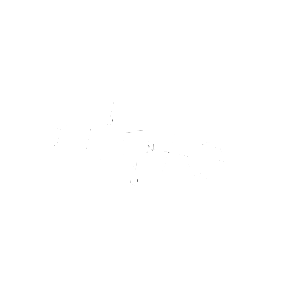 COc1ccccc1CC1CCN(C(C)(C)c2ccccc2)C1=O